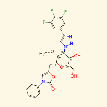 CO[C@@H]1[C@@H](n2cc(-c3cc(F)c(F)c(F)c3)nn2)[C@@H](O)[C@@H](CO)O[C@@H]1Cc1cn(-c2ccccc2)c(=O)o1